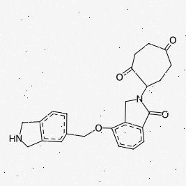 O=C1CCC(=O)C(N2Cc3c(OCc4ccc5c(c4)CNC5)cccc3C2=O)CC1